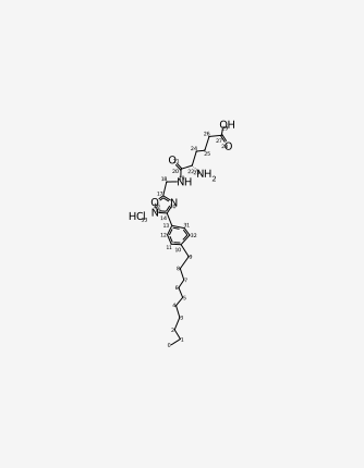 CCCCCCCCCCc1ccc(-c2noc(CNC(=O)[C@@H](N)CCCC(=O)O)n2)cc1.Cl